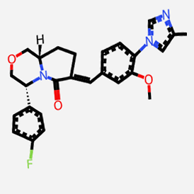 COc1cc(/C=C2\CC[C@H]3COC[C@@H](c4ccc(F)cc4)N3C2=O)ccc1-n1cnc(C)c1